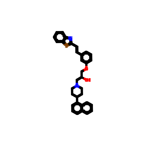 O[C@H](COc1cccc(C=Cc2nc3ccccc3s2)c1)CN1CCC(c2cccc3ccccc23)CC1